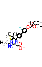 Cc1sc2c(c1C)C(c1ccc(-c3ccc(OCC(=O)OC(C)(C)C)cc3F)cc1)=N[C@@H](CC(=O)O)c1nnc(C)n1-2